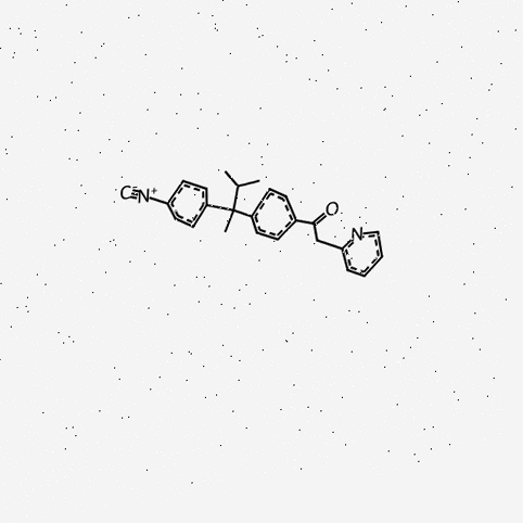 [C-]#[N+]c1ccc(C(C)(c2ccc(C(=O)Cc3ccccn3)cc2)C(C)C)cc1